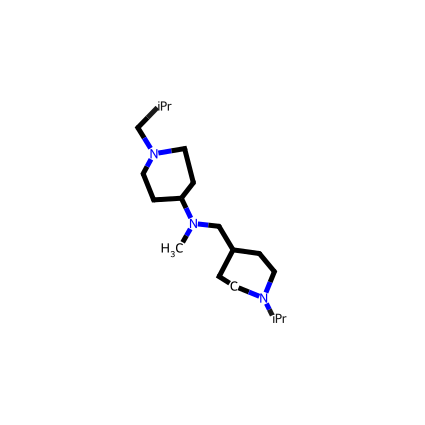 CC(C)CN1CCC(N(C)CC2CCN(C(C)C)CC2)CC1